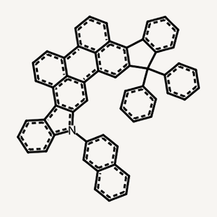 c1ccc(C2(c3ccccc3)c3ccccc3-c3c2cc2c4cc5c(c6cccc(c7cccc3c72)c46)c2ccccc2n5-c2ccc3ccccc3c2)cc1